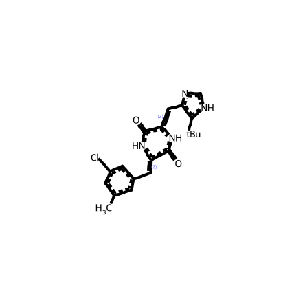 Cc1cc(Cl)cc(/C=c2\[nH]c(=O)/c(=C/c3nc[nH]c3C(C)(C)C)[nH]c2=O)c1